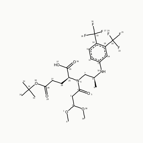 COC(CC(=O)N(C[C@H](C)Nc1ccc(C(F)(F)F)c(C(F)(F)F)c1)[C@@H](CCC(=O)OC(C)(C)C)C(=O)O)OC